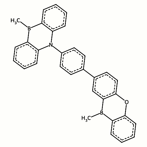 CB1c2ccccc2Oc2ccc(-c3ccc(N4c5ccccc5B(C)c5ccccc54)cc3)cc21